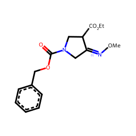 CCOC(=O)C1CN(C(=O)OCc2ccccc2)C/C1=N/OC